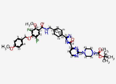 COc1ccc(COc2c(F)cc(C(=O)NCC34CCC(c5noc(-c6ccnc(N7CCN(C(=O)OC(C)(C)C)CC7)n6)n5)(CC3)CC4)c(OC)c2F)cc1